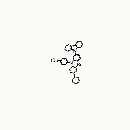 CC(C)(C)c1ccc(N(c2cccc(-n3c4ccccc4c4ccccc43)c2)c2ccc(-c3ccccc3)cc2Br)cc1